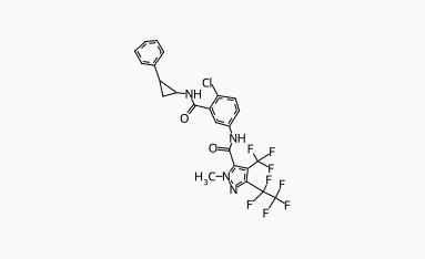 Cn1nc(C(F)(F)C(F)(F)F)c(C(F)(F)F)c1C(=O)Nc1ccc(Cl)c(C(=O)NC2CC2c2ccccc2)c1